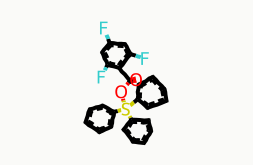 O=C(OS(c1ccccc1)(c1ccccc1)c1ccccc1)c1c(F)cc(F)cc1F